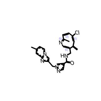 C=C1\C=C(Cl)/C=C\C(C)=N\C=C/1CNC(=O)c1cnn(Cc2cn3ccc(C)cc3n2)c1